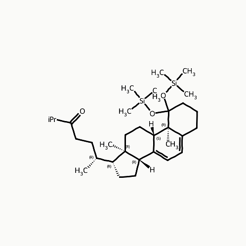 CC(C)C(=O)CC[C@@H](C)[C@H]1CC[C@H]2C3=CC=C4CCCC(O[Si](C)(C)C)(O[Si](C)(C)C)[C@]4(C)[C@H]3CC[C@]12C